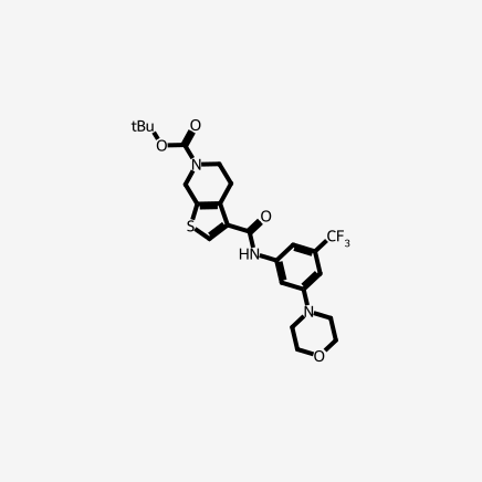 CC(C)(C)OC(=O)N1CCc2c(C(=O)Nc3cc(N4CCOCC4)cc(C(F)(F)F)c3)csc2C1